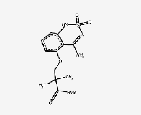 CNC(=O)C(C)(C)COc1cccc2c1C(N)=NS(=O)(=O)N2